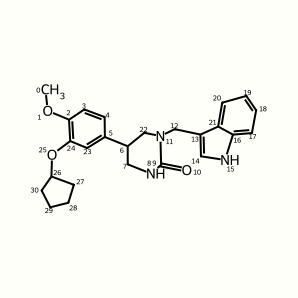 COc1ccc(C2CNC(=O)N(Cc3c[nH]c4ccccc34)C2)cc1OC1CCCC1